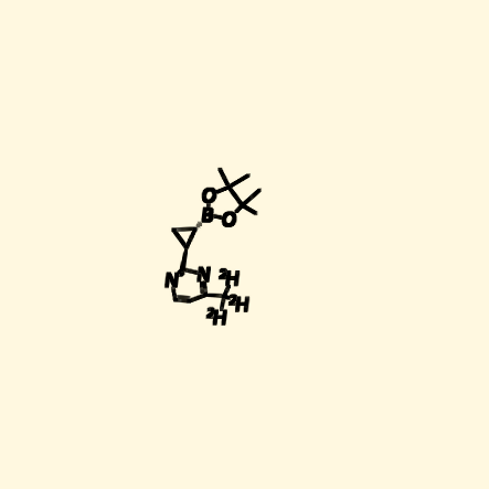 [2H]C([2H])([2H])c1ccnc([C@H]2C[C@@H]2B2OC(C)(C)C(C)(C)O2)n1